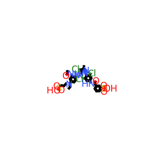 CCN(CCCS(=O)(=O)O)c1ccc(/N=N/c2c(Cl)c(C)nn2-c2c(Cl)cc(NC(=O)c3cccc(S(=O)(=O)O)c3)cc2Cl)c(NC(C)=O)c1